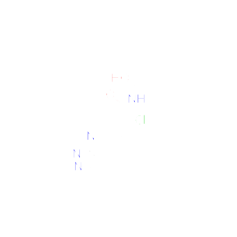 CN(c1ccc(Cl)c(C(=O)NC(O)C2CCCCC2)c1)c1ccnn1C